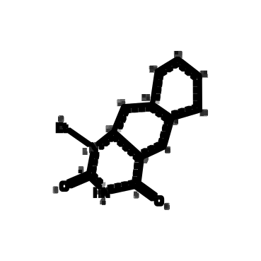 CCn1c(=O)[nH]c(=O)c2cc3ccccc3cc21